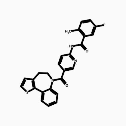 Cc1ccc(F)cc1C(=O)Nc1ccc(C(=O)N2CCc3ccsc3-c3ccccc32)cn1